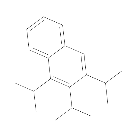 CC(C)c1cc2ccccc2c(C(C)C)c1C(C)C